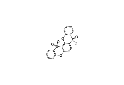 O=S1(=O)c2ccccc2Oc2c1ccc1c2S(=O)(=O)c2ccccc2O1